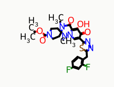 CCN1C(=O)c2c(O)c(=O)c(-c3nnc(Cc4ccc(F)cc4F)s3)cn2N(C)C12CCN(C(=O)OC(C)C)CC2